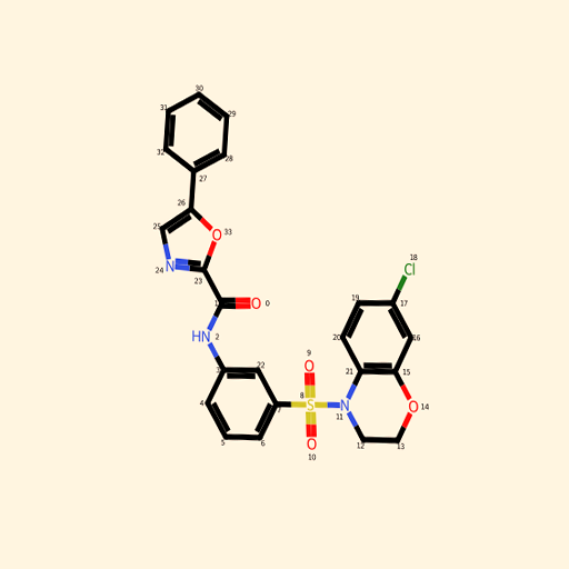 O=C(Nc1cccc(S(=O)(=O)N2CCOc3cc(Cl)ccc32)c1)c1ncc(-c2ccccc2)o1